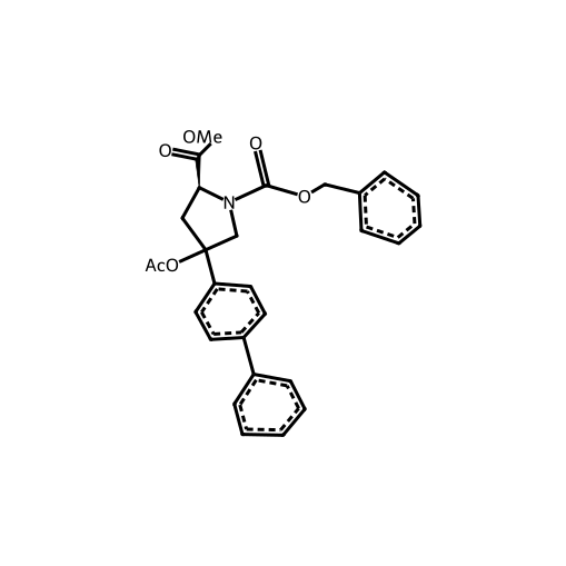 COC(=O)[C@@H]1CC(OC(C)=O)(c2ccc(-c3ccccc3)cc2)CN1C(=O)OCc1ccccc1